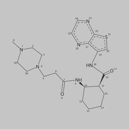 CN1CCN(CCC(=O)N[C@@H]2CCCC[C@@H]2C(=O)Nc2csc3nccnc23)CC1